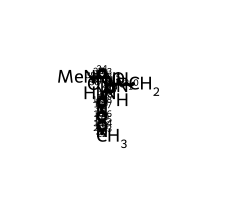 C=CCNC(=O)c1cnc(Nc2ccc(N3CCC4(CCN(C)CC4)CC3)cc2)nc1Nc1cccc(C(=O)NC)n1